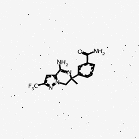 CC1(c2cccc(C(N)=O)c2)Cn2nc(C(F)(F)F)cc2C(N)=N1